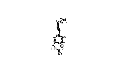 O=C1NCc2cc(C#CCO)ccc2O1